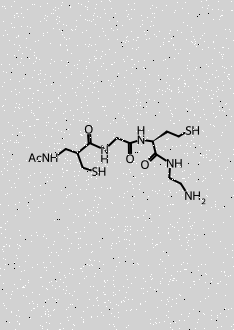 CC(=O)NCC(CS)C(=O)NCC(=O)N[C@@H](CCS)C(=O)NCCN